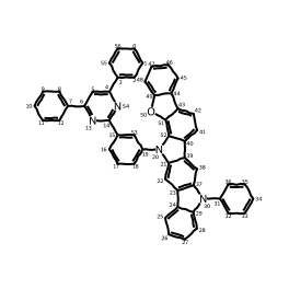 c1ccc(-c2cc(-c3ccccc3)nc(-c3cccc(-n4c5cc6c7ccccc7n(-c7ccccc7)c6cc5c5ccc6c7ccccc7oc6c54)c3)n2)cc1